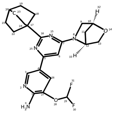 Nc1ncc(-c2cc(N3C[C@@H]4C[C@H]3CO4)nc(C34CCC(CC3)CC4)n2)cc1OC(F)F